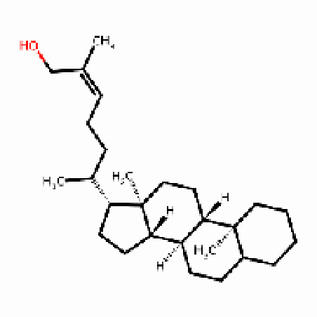 CC(=CCCC(C)[C@H]1CC[C@H]2[C@@H]3CCC4CCCC[C@]4(C)[C@H]3CC[C@]12C)CO